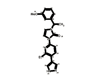 CCc1nc(-n2ccn(C(C)c3cccc(OC)c3)c2=O)ccc1-c1cn[nH]c1